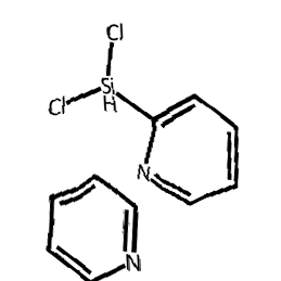 Cl[SiH](Cl)c1ccccn1.c1ccncc1